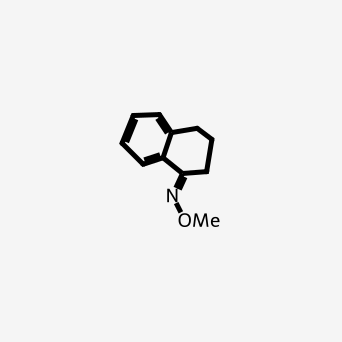 CON=C1CCCc2ccccc21